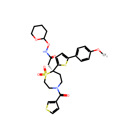 O=C(C[C@]1(c2ccc(-c3ccc(OC(F)(F)F)cc3)s2)CCN(C(=O)c2ccsc2)CCS1(=O)=O)NOC1CCCCO1